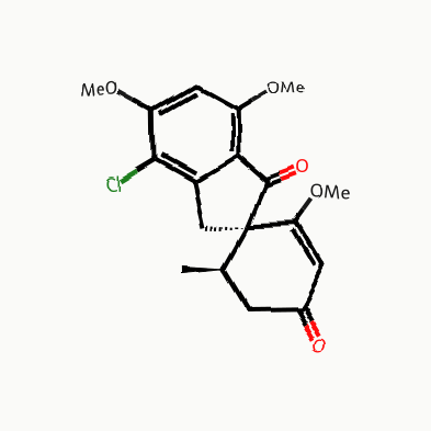 COC1=CC(=O)C[C@@H](C)[C@]12Cc1c(Cl)c(OC)cc(OC)c1C2=O